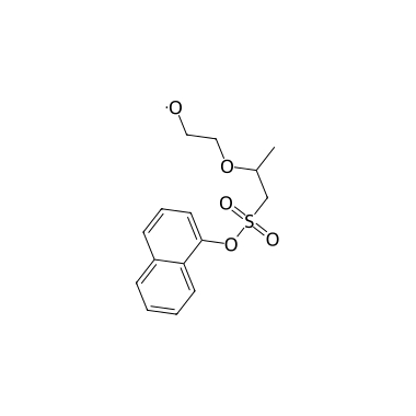 CC(CS(=O)(=O)Oc1cccc2ccccc12)OCC[O]